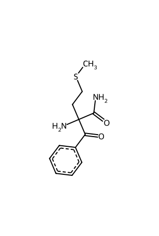 CSCCC(N)(C(N)=O)C(=O)c1ccccc1